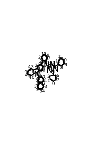 C1=CCC(c2nc(-c3ccccc3)nc(-n3c4ccccc4c4cc5c(cc43)N(c3ccc4ccccc4c3)C3C=CC=CC53)n2)C=C1